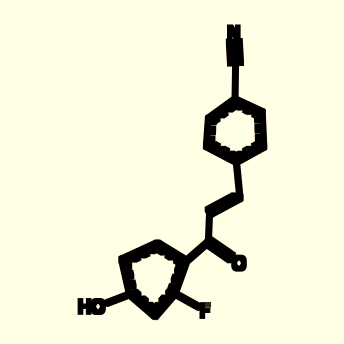 N#Cc1ccc(/C=C/C(=O)c2ccc(O)cc2F)cc1